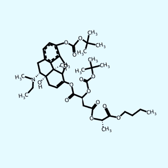 CCCCOC(=O)[C@H](C)OC(=O)C[C@H](OC(=O)OC(C)(C)C)C(=O)OC1=CC[C@@]2(O)[C@H](N(C)CC)Cc3ccc(OC(=O)OC(C)(C)C)c4c3[C@@]2(C)[C@H]1O4